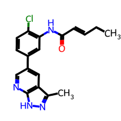 CCC=CC(=O)Nc1cc(-c2cnc3[nH]nc(C)c3c2)ccc1Cl